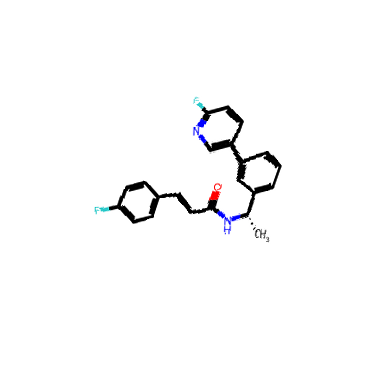 C[C@H](NC(=O)/C=C/c1ccc(F)cc1)c1cccc(-c2ccc(F)nc2)c1